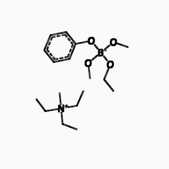 CCO[B-](OC)(OC)Oc1ccccc1.CC[N+](C)(CC)CC